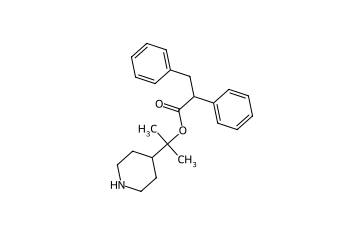 CC(C)(OC(=O)C(Cc1ccccc1)c1ccccc1)C1CCNCC1